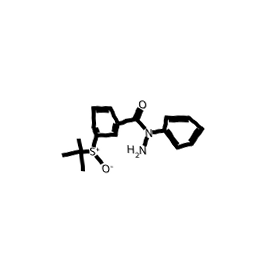 CC(C)(C)[S+]([O-])c1cccc(C(=O)N(N)c2ccccc2)c1